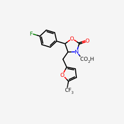 O=C(O)N1C(=O)OC(c2ccc(F)cc2)C1Cc1ccc(C(F)(F)F)o1